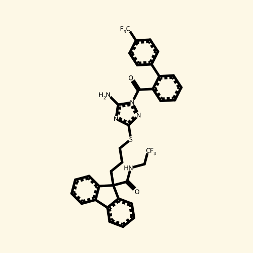 Nc1nc(SCCCC2(C(=O)NCC(F)(F)F)c3ccccc3-c3ccccc32)nn1C(=O)c1ccccc1-c1ccc(C(F)(F)F)cc1